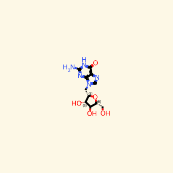 Nc1nc2c(ncn2C[C@@H]2O[C@H](CO)C(O)[C@@H]2O)c(=O)[nH]1